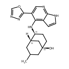 CC1C[C@H]2C[C@](O)(CC[C@@H]2Nc2c(-c3nnco3)cnc3[nH]ccc23)C1